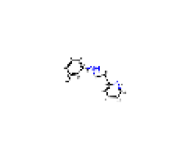 Cc1cccc(NCCc2ccccn2)c1